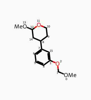 COCOc1cccc(C2CCOC(OC)C2)c1